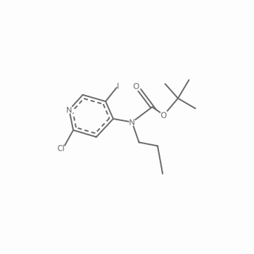 CCCN(C(=O)OC(C)(C)C)c1cc(Cl)ncc1I